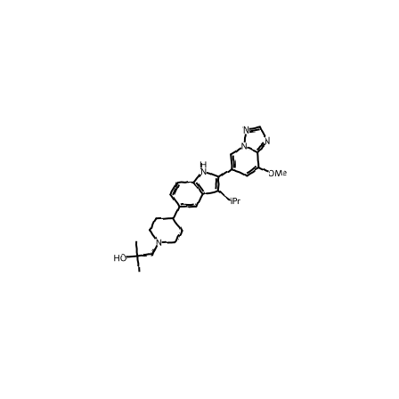 COc1cc(-c2[nH]c3ccc(C4CCN(CC(C)(C)O)CC4)cc3c2C(C)C)cn2ncnc12